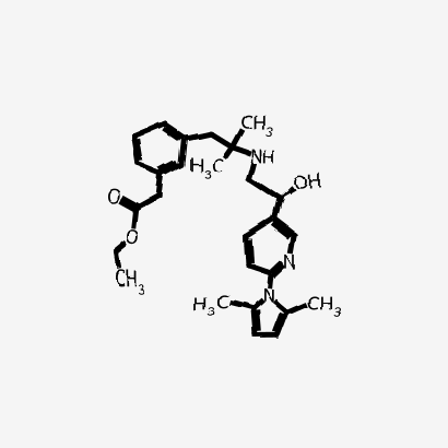 CCOC(=O)Cc1cccc(CC(C)(C)NC[C@@H](O)c2ccc(-n3c(C)ccc3C)nc2)c1